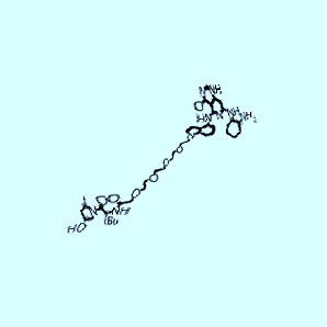 C[C@@H]1C[C@@H](O)CN1C(=O)[C@@H](NC(=O)COCCOCCOCCOCCn1ccc2c(Nc3nc(N[C@@H]4CCCC[C@@H]4N)cc4[nH]cnc(=O)c34)cccc21)C(C)(C)C